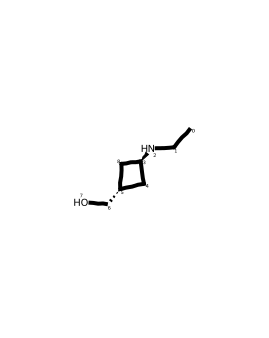 CCN[C@H]1C[C@H](CO)C1